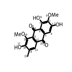 COc1c(O)cc2c(c1O)C(=O)c1c(cc(C)c(O)c1OC)C2=O